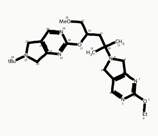 CCOc1ncc2c(n1)CN(C(C)(C)CC(COC)Oc1ncc3c(n1)CN(C(C)(C)C)C3)C2